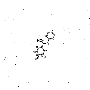 OC(Cc1ccccc1)c1ccc(F)c(F)c1